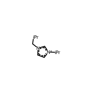 CC(C)Cn1cc[n+](C(C)C)c1